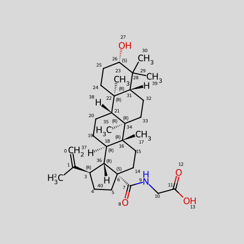 C=C(C)[C@@H]1CC[C@]2(C(=O)NCC(=O)O)CC[C@]3(C)[C@H](CC[C@@H]4[C@@]5(C)CC[C@H](O)C(C)(C)[C@@H]5CC[C@]43C)[C@@H]12